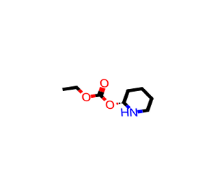 CCOC(=O)O[C@@H]1CCCCN1